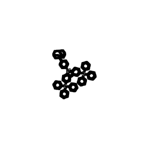 c1ccc(S(c2ccccc2)(c2ccccc2)c2ccc3c(c2)c2cc(S(c4ccccc4)(c4ccccc4)c4ccccc4)ccc2n3-c2ccc(C34CC5CC(CC(C5)C3)C4)cc2)cc1